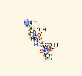 Cn1nnnc1SCC1=C(C(=O)O)N2C(=O)C(NC(=S)CCCC(C(=O)O)N3C(=O)c4ccccc4C3=O)[C@@H]2SC1